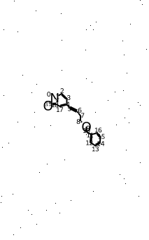 Cn1ccc(C#CCCOCc2ccccc2)cc1=O